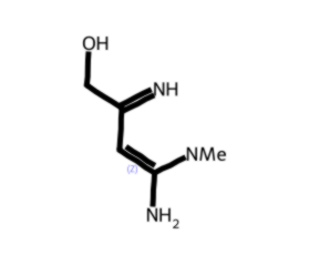 CN/C(N)=C\C(=N)CO